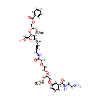 CSS[C@H](COC(=O)c1ccccc1)O[C@@H]1C[C@H](BC#CCNC(=O)COCCOC(COc2cccc(C(=O)NCCN)c2)SSC(C)(C)C)OC1CO